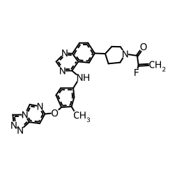 C=C(F)C(=O)N1CCC(c2ccc3ncnc(Nc4ccc(Oc5cc6nncn6cn5)c(C)c4)c3c2)CC1